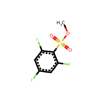 COS(=O)(=O)c1c(F)cc(F)cc1F